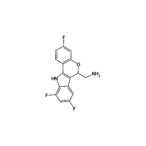 NCC1Oc2cc(F)ccc2-c2[nH]c3c(F)cc(F)cc3c21